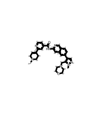 Cn1ncc(-c2ccc3cnc(NC(=O)c4ccnc(C5=CCN(I)CC5)c4)cc3c2)c1CN1CCOCC1